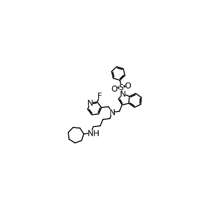 O=S(=O)(c1ccccc1)n1cc(CN(CCCCNC2CCCCCC2)Cc2cccnc2F)c2ccccc21